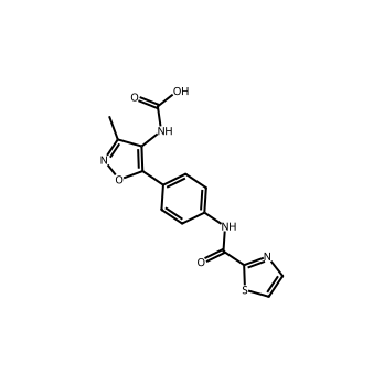 Cc1noc(-c2ccc(NC(=O)c3nccs3)cc2)c1NC(=O)O